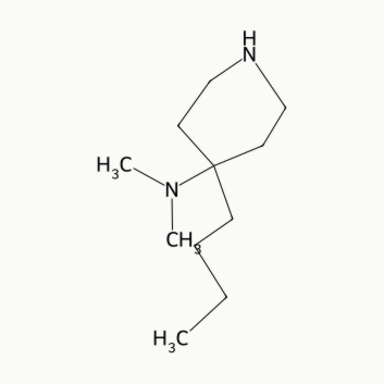 CCCCC1(N(C)C)CCNCC1